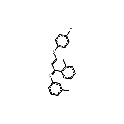 Cc1cccc(N=C(C=CSc2ccc(F)cc2)c2ccccc2C)c1